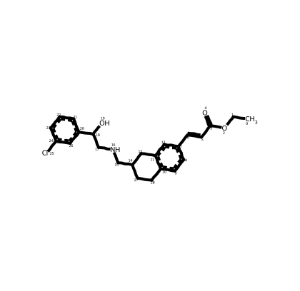 CCOC(=O)C=Cc1ccc2c(c1)CC(CNCC(O)c1cccc(Cl)c1)CC2